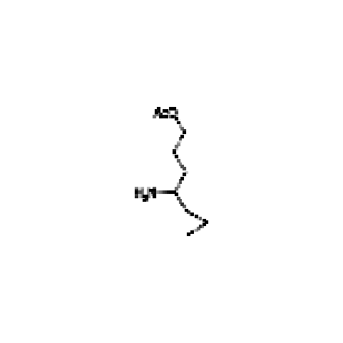 CC(=O)OCCCC(N)C1CC1